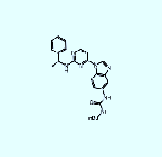 CCCCNC(=O)Nc1ccc2c(c1)ncn2-c1ccnc(N[C@@H](C)c2ccccc2)n1